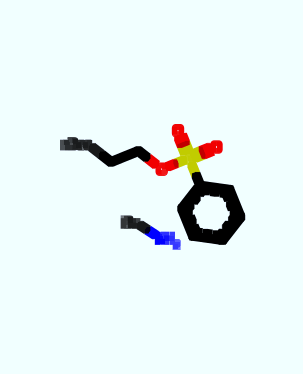 CCC(C)N.CCCCCCCCCCCCOS(=O)(=O)c1ccccc1